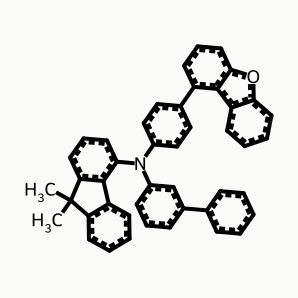 CC1(C)c2ccccc2-c2c(N(c3ccc(-c4cccc5oc6ccccc6c45)cc3)c3cccc(-c4ccccc4)c3)cccc21